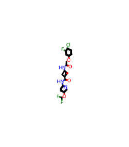 O=C(COc1ccc(Cl)c(F)c1)NC12CC(C(=O)Nc3ccc(OC(F)F)cn3)(C1)C2